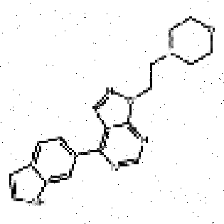 c1nc(-c2ccc3cc[nH]c3c2)c2cnn(CCN3CCOCC3)c2n1